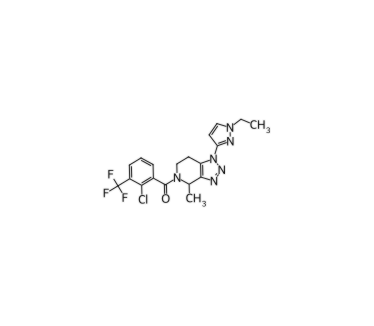 CCn1ccc(-n2nnc3c2CCN(C(=O)c2cccc(C(F)(F)F)c2Cl)C3C)n1